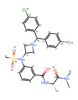 C[C@H](NC(=O)c1cccc(N(C2CN(C(c3ccc(Cl)cc3)c3ccc(Cl)cc3)C2)S(C)(=O)=O)c1)C(=O)N(C)C